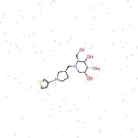 OC[C@H]1[C@@H](O)[C@H](O)[C@@H](O)CN1C[C@H]1CCN(c2ccsc2)C1